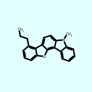 CCCc1cccc2oc3c(ccc4c3c3ccccc3n4C)c12